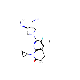 CON=C1CN(c2nc3c(cc2F)C[C@@H](C(=O)O)C(=O)N3C2CC2)C[C@@H]1CN.CS(=O)(=O)O